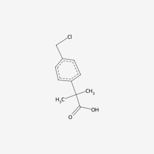 CC(C)(C(=O)O)c1ccc(CCl)cc1